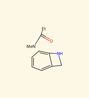 CCC(=O)NC.c1ccc2c(c1)CN2